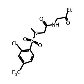 CCC(=O)CNC(=O)CN(C)S(=O)(=O)c1ccc(C(F)(F)F)cc1Cl